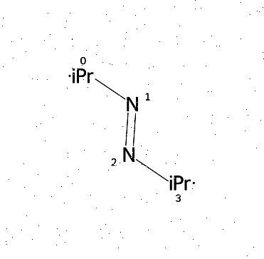 C[C](C)/N=N/[C](C)C